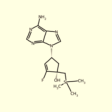 C[Si](C)(C)C[C@]1(O)C[C@@H](n2cnc3c(N)ncnc32)C=C1F